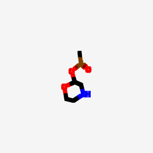 CS(=O)OC1CNCCO1